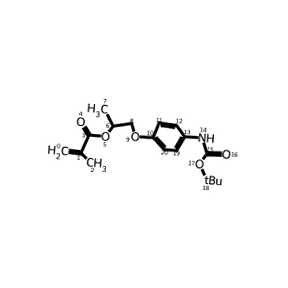 C=C(C)C(=O)OC(C)COc1ccc(NC(=O)OC(C)(C)C)cc1